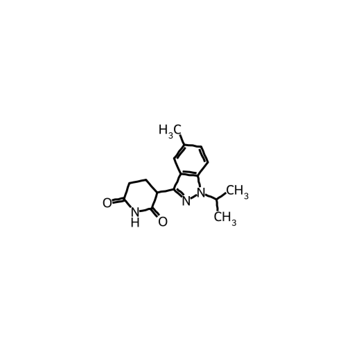 Cc1ccc2c(c1)c(C1CCC(=O)NC1=O)nn2C(C)C